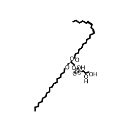 CCCCC/C=C\C/C=C\CCCCCCCCCC(=O)O[C@H](COCCCCCCCCCCCCCCCCCC)COP(=O)(O)OC[C@@H](O)CO